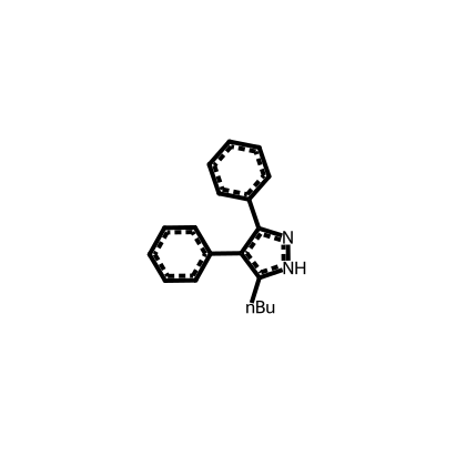 CCCCc1[nH]nc(-c2ccccc2)c1-c1ccccc1